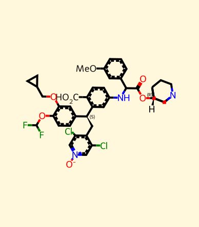 COc1cccc(C(Nc2ccc(C(=O)O)c([C@@H](Cc3c(Cl)c[n+]([O-])cc3Cl)c3ccc(OC(F)F)c(OCC4CC4)c3)c2)C(=O)O[C@H]2CN3CCC2CC3)c1